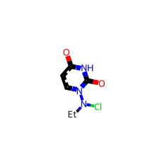 CCN(Cl)n1ccc(=O)[nH]c1=O